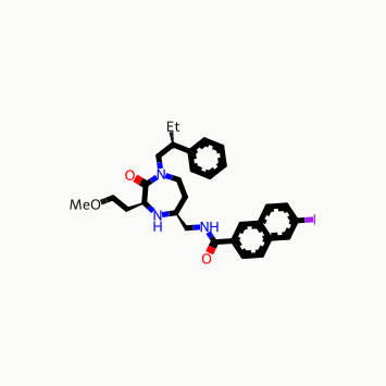 CC[C@H](CN1CC[C@@H](CNC(=O)c2ccc3cc(I)ccc3c2)N[C@@H](CCOC)C1=O)c1ccccc1